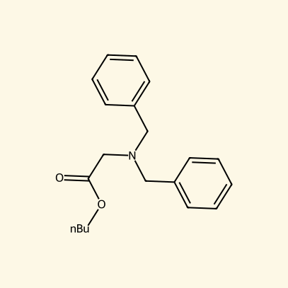 CCCCOC(=O)CN(Cc1ccccc1)Cc1ccccc1